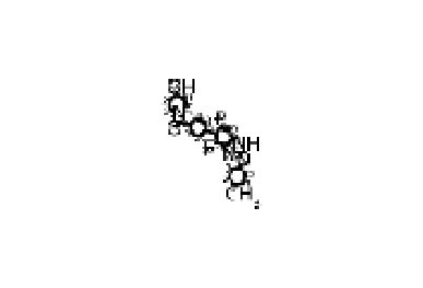 CC1CCC(Oc2nc3c(F)c(-c4ccc(C(=O)N5CCC(O)CC5)cc4)c(F)cc3[nH]2)CC1